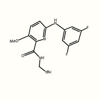 COc1ccc(Nc2cc(F)cc(F)c2)nc1C(=O)NCC(C)(C)C